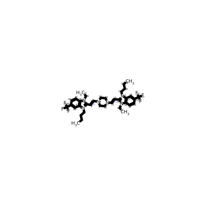 CCCC[n+]1c(/C=C/N2CCN(/C=C/c3n(CC)c4ccc(C(F)(F)F)cc4[n+]3CCCC)CC2)n(CC)c2ccc(C(F)(F)F)cc21